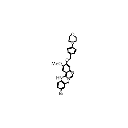 COc1cc2c(Nc3ccc(Br)cc3I)ncnc2cc1OCc1ccc(N2CCOCC2)cc1